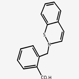 O=C(O)c1ccccc1CN1C=Cc2ccccc2S1